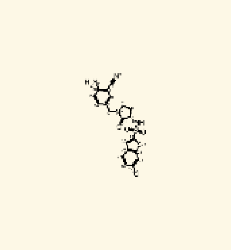 N#Cc1cc(CN2CC[C@H](NS(=O)(=O)c3cc4ccc(Cl)cc4s3)C2=O)ccc1N